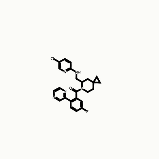 O=C(c1cc(F)ccc1-c1cnccn1)N1CCC2(CC2)CC1CNc1ccc(Cl)cn1